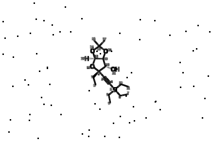 CC[C@@]1(C#C[Si](CC)(CC)CC)O[C@H]2OC(C)(C)OC2[C@@H]1O